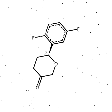 O=C1CC[C@@H](c2cc(F)ccc2F)OC1